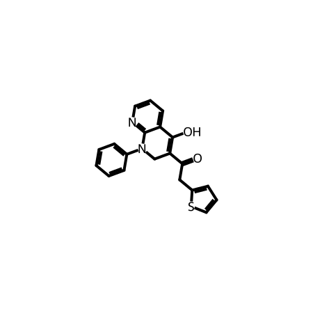 O=C(Cc1cccs1)C1=C(O)c2cccnc2N(c2ccccc2)C1